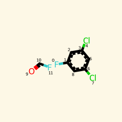 Fc1cc(Cl)cc(Cl)c1.O=CF